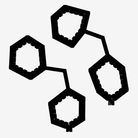 c1ccc(Cc2ccncc2)cc1.c1ccc(Cc2ccncc2)cc1